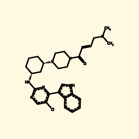 CN(C)C/C=C/C(=O)N1CCN([C@H]2CCC[C@@H](Nc3ncc(Cl)c(-c4c[nH]c5ccccc45)n3)C2)CC1